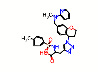 Cc1ccc(S(=O)(=O)NC(Cc2cn(C3CCOc4cc(CN(C)c5ccccn5)ccc43)nn2)C(=O)O)cc1